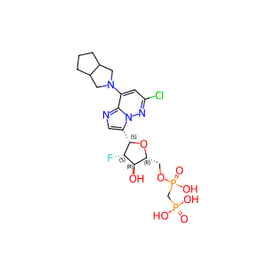 O=P(O)(O)CP(=O)(O)OC[C@H]1O[C@@H](c2cnc3c(N4CC5CCCC5C4)cc(Cl)nn23)[C@@H](F)[C@@H]1O